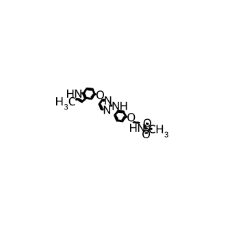 Cc1cc2cc(Oc3ccnc(Nc4cccc(OCCNS(C)(=O)=O)c4)n3)ccc2[nH]1